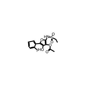 CCS(=O)(=O)Nc1oc(-c2ccccc2F)c(O)c1OC(C)=O